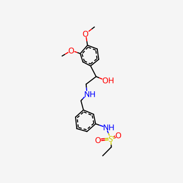 CCS(=O)(=O)Nc1cccc(CNCC(O)c2ccc(OC)c(OC)c2)c1